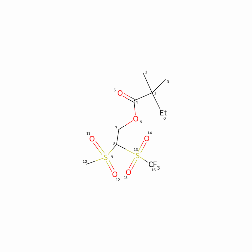 CCC(C)(C)C(=O)OCC(S(C)(=O)=O)S(=O)(=O)C(F)(F)F